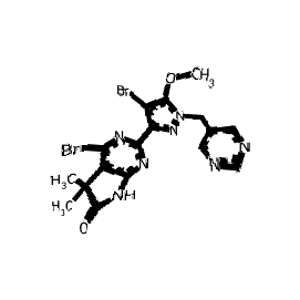 COc1c(Br)c(-c2nc(Br)c3c(n2)NC(=O)C3(C)C)nn1Cc1cncnc1